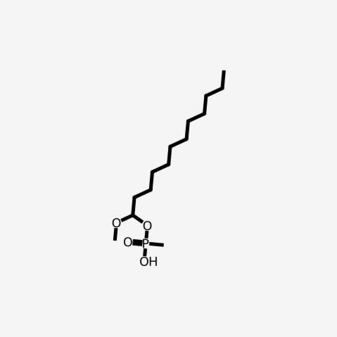 CCCCCCCCCCCC(OC)OP(C)(=O)O